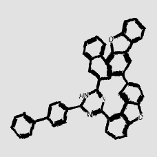 c1ccc(-c2ccc(C3N=C(c4cccc5oc6ccc(-c7ccc8oc9ccccc9c8c7)cc6c45)N=C(c4ccc5ccccc5c4)N3)cc2)cc1